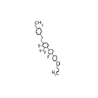 CCCOc1ccc(-c2ccc(-c3ccc(CCc4ccc(CC)cc4)c(F)c3C(F)F)cc2F)cc1